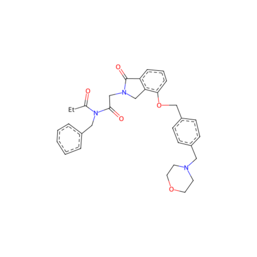 CCC(=O)N(Cc1ccccc1)C(=O)CN1Cc2c(OCc3ccc(CN4CCOCC4)cc3)cccc2C1=O